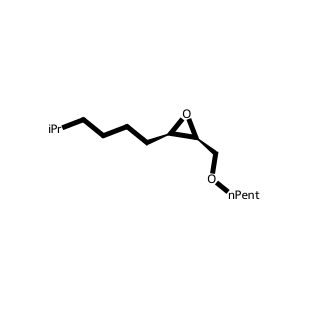 CCCCCOC[C@@H]1O[C@@H]1CCCCC(C)C